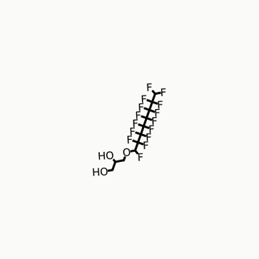 OCC(O)COC(F)C(F)(F)C(F)(F)C(F)(F)C(F)(F)C(F)(F)C(F)(F)C(F)F